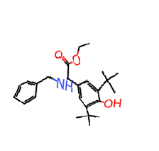 CCOC(=O)C(NCc1ccccc1)c1cc(C(C)(C)C)c(O)c(C(C)(C)C)c1